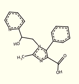 Cc1nc(C(=O)O)c(-c2ccccc2)n1CC(O)c1ccccn1